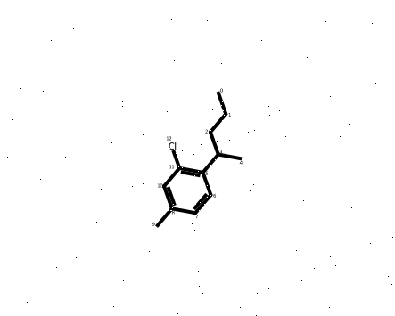 CCCC(C)c1ccc(C)cc1Cl